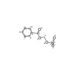 O=C(OCO[N+](=O)[O-])c1ccccc1